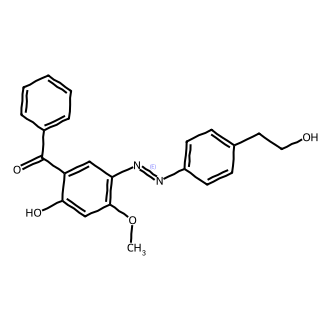 COc1cc(O)c(C(=O)c2ccccc2)cc1/N=N/c1ccc(CCO)cc1